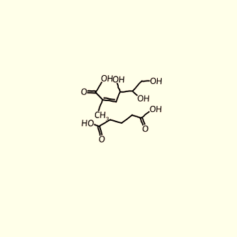 CC(=CC(O)C(O)CO)C(=O)O.O=C(O)CCCC(=O)O